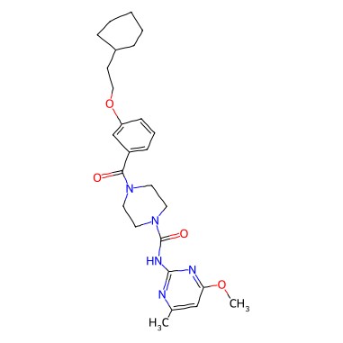 COc1cc(C)nc(NC(=O)N2CCN(C(=O)c3cccc(OCCC4CCCCC4)c3)CC2)n1